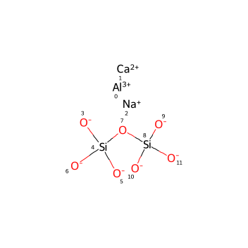 [Al+3].[Ca+2].[Na+].[O-][Si]([O-])([O-])O[Si]([O-])([O-])[O-]